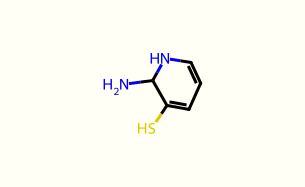 NC1NC=CC=C1S